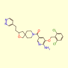 Nc1ncc(C(=O)N2CCC3(CC2)COC(CCc2ccnnc2)C3)cc1OCc1c(Cl)cccc1Cl